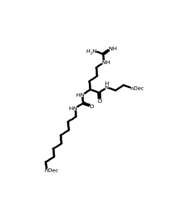 CCCCCCCCCCCCCCCCCCNC(=O)NC(CCCNC(=N)N)C(=O)NCCCCCCCCCCCC